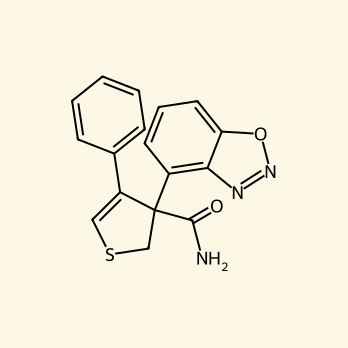 NC(=O)C1(c2cccc3onnc23)CSC=C1c1ccccc1